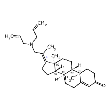 C=CCN(CC=C)C/C(C)=C1\CC[C@H]2[C@@H]3CCC4=CC(=O)CC[C@]4(C)[C@H]3CC[C@]12C